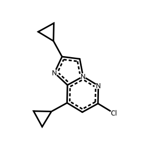 Clc1cc(C2CC2)c2nc(C3CC3)cn2n1